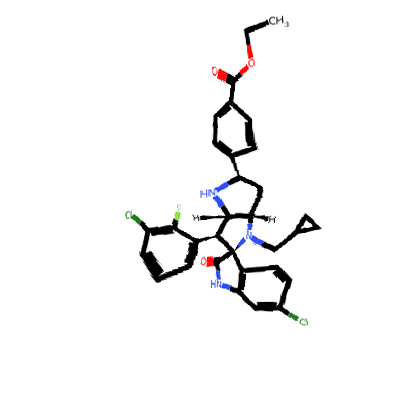 CCOC(=O)c1ccc([C@H]2C[C@H]3[C@@H](N2)[C@H](c2cccc(Cl)c2F)[C@]2(C(=O)Nc4cc(Cl)ccc42)N3CC2CC2)cc1